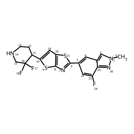 Cn1cc2cc(-c3nc4sc(C5CCNCC5(F)F)cc4s3)cc(F)c2n1